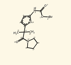 CC(C)(C)OC(=O)Nc1ccc(C(C)(C)C(=O)N2CCCC2)s1